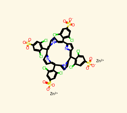 O=S(=O)([O-])c1cc(Cl)c(-c2c3nc(c(-c4c(Cl)cc(S(=O)(=O)[O-])cc4Cl)c4ccc([nH]4)c(-c4c(Cl)cc(S(=O)(=O)[O-])cc4Cl)c4nc(c(-c5c(Cl)cc(S(=O)(=O)[O-])cc5Cl)c5ccc2[nH]5)C=C4)C=C3)c(Cl)c1.[Zn+2].[Zn+2]